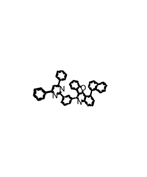 c1ccc(-c2cc(-c3ccccc3)nc(-c3cccc(-c4nc5cccc(-c6cccc7ccccc67)c5c5oc6ccccc6c45)c3)n2)cc1